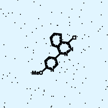 COc1ccc(-c2nnc(Cl)c3ccccc23)cn1